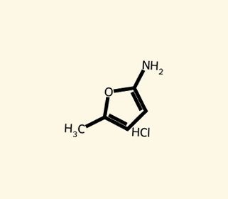 Cc1ccc(N)o1.Cl